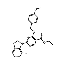 CCOC(=O)c1cnc(N2CCc3cccc(C)c32)nc1OCc1ccc(OC)cc1